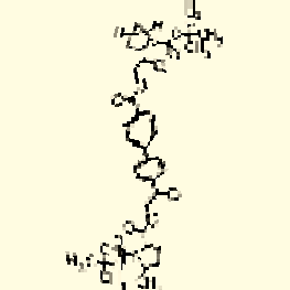 CC1CC[C@@H](C(=O)OCC(=O)c2ccc(-c3ccc(C(=O)OCC(=O)[C@@H]4C[C@@H]5C[C@@H]5N4C(=O)OC(C)(C)C)cc3)cc2)N1C(=O)OC(C)(C)C